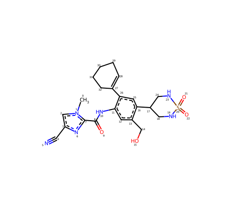 Cn1cc(C#N)nc1C(=O)Nc1cc(CO)c(C2CNS(=O)(=O)NC2)cc1C1=CCCCC1